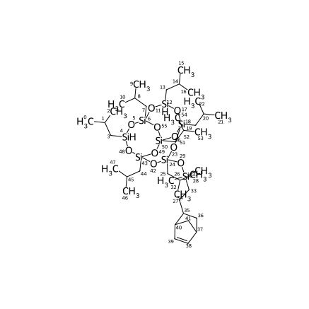 CC(C)C[SiH]1O[Si]2(CC(C)C)O[SiH](CC(C)C)O[Si]3(CC(C)C)O[Si](CC(C)C)(O[Si](C)(C)CCC4CC5C=CC4C5)O[Si](CC(C)C)(O1)O[Si](CC(C)C)(O2)O3